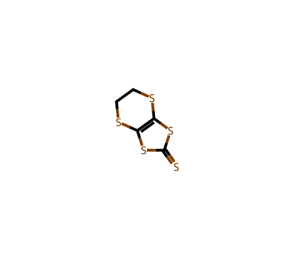 S=c1sc2c(s1)SCCS2